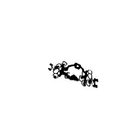 CCN(CC)C(=O)Oc1c(COC)c2cc(c1COC)Cc1ccc(cc1)Cc1cc(c(COC)c(OC(=O)N(CC)CC)c1COC)Cc1ccc(cc1)C2